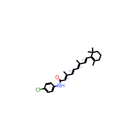 CC1=C(/C=C/C(C)=C/C=C/C(C)=C/C(=O)Nc2ccc(Cl)cc2)C(C)(C)CCC1